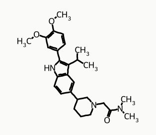 COc1ccc(-c2[nH]c3ccc(C4CCCN(CC(=O)N(C)C)C4)cc3c2C(C)C)cc1OC